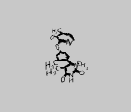 Cc1cc(Oc2nccc(C)c2Cl)ccc1-c1c(C)c(=O)[nH]c(=O)n1C